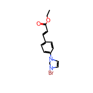 CCOC(=O)C=Cc1ccc(N2C=CN(Br)C2)cc1